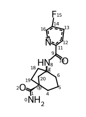 NC(=O)[C@@]12CCC[C@@](NC(=O)c3ccc(F)cn3)(CC1)C2